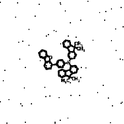 CC1(C)c2ccccc2-c2cc(N(c3ccc(-c4cccc5c4oc4ccccc45)cc3)c3cccc4c3-c3ccccc3C4(C)C)ccc21